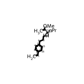 C=Cc1ccc(CCCO[SiH](CCC)C(C)OC)cc1